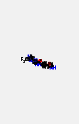 O=C(Nc1ccc(C2CNCCO2)cc1)c1ccn(-c2ccnc(C(F)(F)F)n2)n1